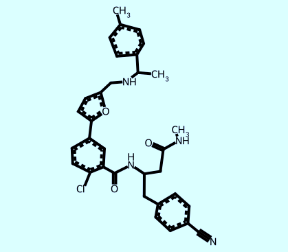 CNC(=O)CC(Cc1ccc(C#N)cc1)NC(=O)c1cc(-c2ccc(CNC(C)c3ccc(C)cc3)o2)ccc1Cl